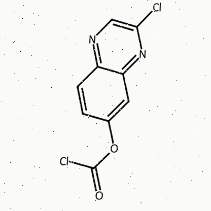 O=C(Cl)Oc1ccc2ncc(Cl)nc2c1